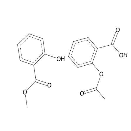 CC(=O)Oc1ccccc1C(=O)O.COC(=O)c1ccccc1O